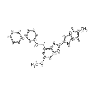 COc1cc(COc2cccc(-c3cc[c]cc3)c2)c2cc(-c3cn4nc(C)sc4n3)oc2c1